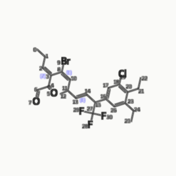 CC/C=C(C(=O)C=O)\C(Br)=C/C(C)/C=C/C(c1cc(Cl)c(CC)c(CC)c1)C(F)(F)F